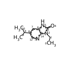 CCn1c(=O)[nH]c2cc(C(C)C)cnc21